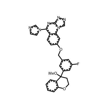 COC1(c2cc(F)cc(COc3ccc4c(-n5ccnc5)nc5nncn5c4c3)c2)CCOc2ccccc21